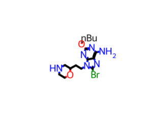 CCCCOc1nc(N)c2nc(Br)n(CCC3CNCCO3)c2n1